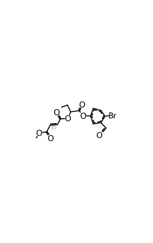 CCC(OC(=O)/C=C/C(=O)OC)C(=O)Oc1ccc(Br)c(C=O)c1